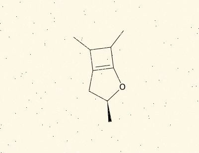 CC1C2=C(O[C@@H](C)C2)C1C